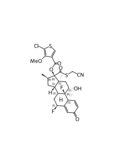 COc1c(C(=O)O[C@]2(C(=O)SCC#N)[C@H](C)C[C@H]3[C@@H]4C[C@H](F)C5=CC(=O)C=C[C@]5(C)[C@@]4(F)[C@@H](O)C[C@@]32C)csc1Cl